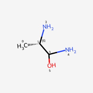 C[C@H](N)C(N)O